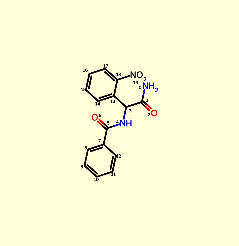 NC(=O)C(NC(=O)c1ccccc1)c1ccccc1[N+](=O)[O-]